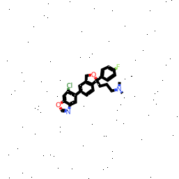 CN(C)CCCC1(c2ccc(F)cc2)OCc2cc(-c3cc4ncoc4cc3Cl)ccc21